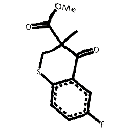 COC(=O)C1(C)CSc2ccc(F)cc2C1=O